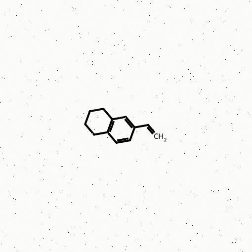 C=Cc1ccc2c(c1)CCCC2